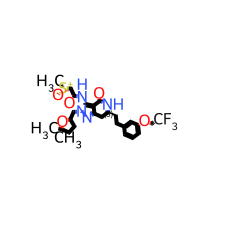 C[S+]([O-])CC(=O)Nc1c2c(nn1CC1CCC(C)(C)O1)C[C@H](CCc1cccc(OCC(F)(F)F)c1)NC2=O